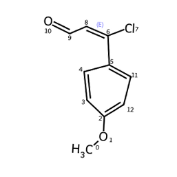 COc1ccc(/C(Cl)=C\C=O)cc1